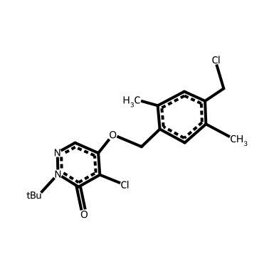 Cc1cc(COc2cnn(C(C)(C)C)c(=O)c2Cl)c(C)cc1CCl